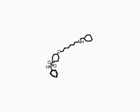 O=S(=O)(Nc1ccccc1)N1CCC(OCCCCCCNCC2CCCCC2)CC1